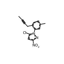 CC#CCc1c[c]c(C)cc1-n1nc([N+](=O)[O-])cc1Cl